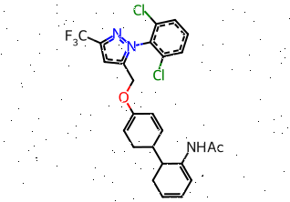 CC(=O)NC1=CC=CCC1C1C=CC(OCc2cc(C(F)(F)F)nn2-c2c(Cl)cccc2Cl)=CC1